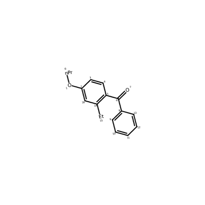 CCCOc1ccc(C(=O)c2ccccc2)c(CC)c1